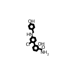 NC(=O)c1cccc(-c2ccc(NCc3ccc(O)cc3)cc2Cl)c1O